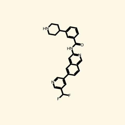 O=C(Nc1cc2cc(-c3cncc(C(F)F)c3)ccc2cn1)c1cccc(C2CCNCC2)c1